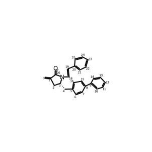 C=C1C[C@@H](Cc2ccc(-c3ccccc3)cc2)N(C=Cc2ccccc2)C1=O